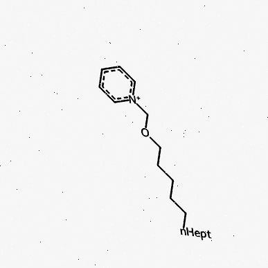 CCCCCCCCCCCCOC[n+]1ccccc1